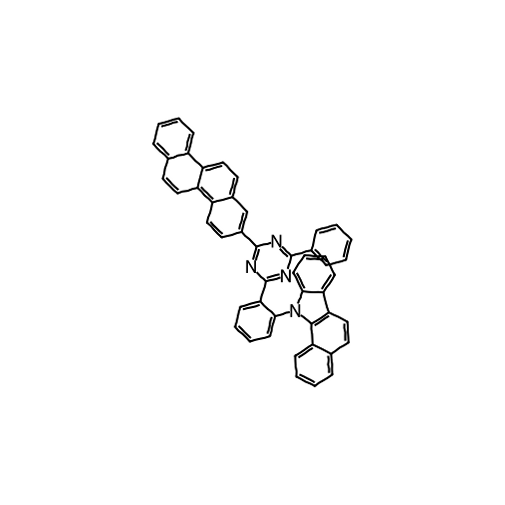 c1ccc(-c2nc(-c3ccc4c(ccc5c6ccccc6ccc45)c3)nc(-c3ccccc3-n3c4ccccc4c4ccc5ccccc5c43)n2)cc1